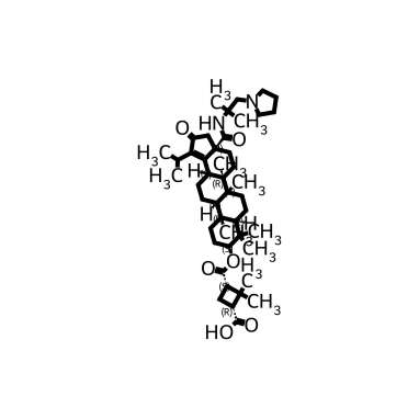 CC(C)C1=C2[C@H]3CC[C@@H]4[C@@]5(C)CC[C@H](OC(=O)[C@H]6C[C@@H](C(=O)O)C6(C)C)C(C)(C)[C@@H]5CC[C@@]4(C)[C@]3(C)CC[C@@]2(C(=O)NC(C)(C)CN2CCCC2)CC1=O